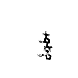 Cc1nc(N2CCC[C@H]2CO)nnc1-c1ccc(C(F)(F)F)cc1O